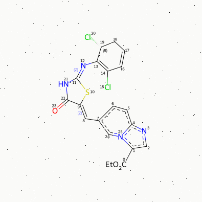 CCOC(=O)c1cnc2ccc(/C=C3\S/C(=N\C4=C(Cl)C=CC[C@H]4Cl)NC3=O)cn12